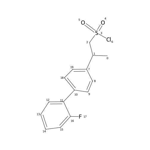 CC(CS(=O)(=O)Cl)c1ccc(-c2ccccc2F)cc1